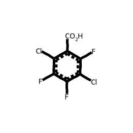 O=C(O)c1c(F)c(Cl)c(F)c(F)c1Cl